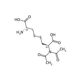 CC(=O)N(C(C)=O)[C@@H](CSSC[C@H](N)C(=O)O)C(=O)O